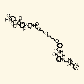 C[C@@H](NC(=O)c1cccc(NCc2nnc(-c3ccncn3)n2C)c1)c1cccc(OCCCCCOCCCOCC(=O)N2CCN(c3cc4c(cc3F)C(=O)N(C3CCC(=O)NC3=O)C4=O)CC2)c1